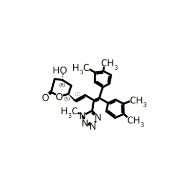 Cc1ccc(C(=C(/C=C/[C@@H]2C[C@@H](O)CC(=O)O2)c2nnnn2C)c2ccc(C)c(C)c2)cc1C